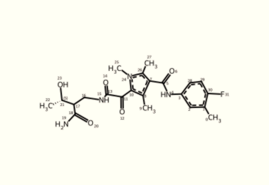 Cc1cc(NC(=O)c2c(C)c(C(=O)C(=O)NCC(C(N)=O)[C@H](C)O)n(C)c2C)ccc1F